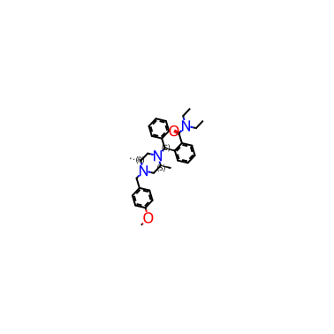 CCN(CC)C(=O)c1ccccc1[C@H](c1ccccc1)N1C[C@@H](C)N(Cc2ccc(OC)cc2)C[C@@H]1C